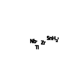 [Nb].[SnH2].[Ti].[Zr]